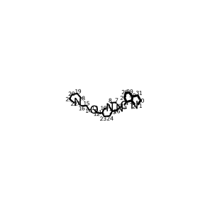 c1cnc2c(CN3CCN4CC(COCCCN5CCCCC5)CCC4C3)cccc2c1